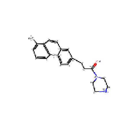 Cc1cccc(C)c1/C=C\c1cccc(CCC(=O)N2CCNCC2)c1